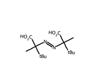 CC(C)(C)C(C)(N=NC(C)(C(=O)O)C(C)(C)C)C(=O)O